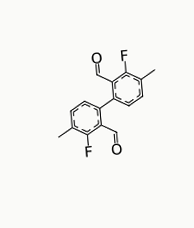 Cc1ccc(-c2ccc(C)c(F)c2C=O)c(C=O)c1F